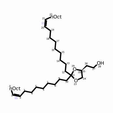 CCCCCCCC/C=C\CCCCCCCCC1(CCCCCCCC/C=C\CCCCCCCC)OC[C@H](CCO)O1